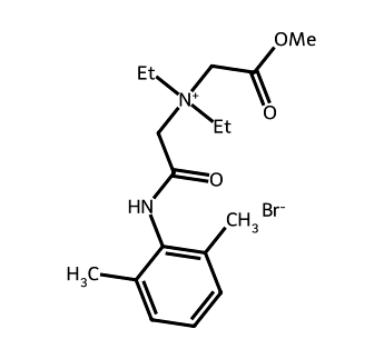 CC[N+](CC)(CC(=O)Nc1c(C)cccc1C)CC(=O)OC.[Br-]